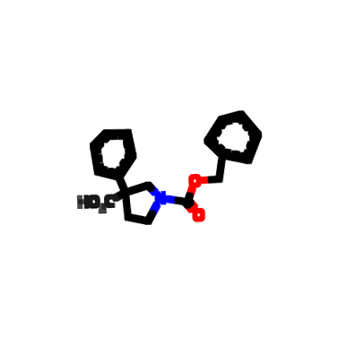 O=C(OCc1ccccc1)N1CCC(C(=O)O)(c2ccccc2)C1